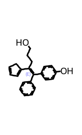 OCCC/C(C1=CC=CC1)=C(/c1ccccc1)c1ccc(O)cc1